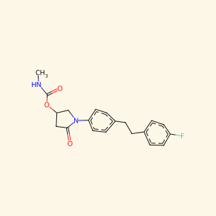 CNC(=O)OC1CC(=O)N(c2ccc(CCc3ccc(F)cc3)cc2)C1